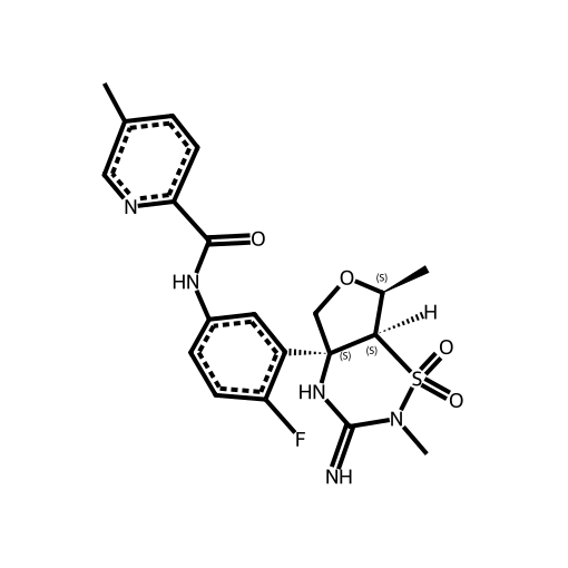 Cc1ccc(C(=O)Nc2ccc(F)c([C@]34CO[C@@H](C)[C@H]3S(=O)(=O)N(C)C(=N)N4)c2)nc1